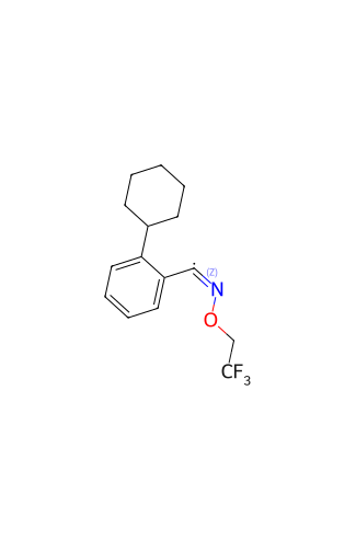 FC(F)(F)CO/N=[C]\c1ccccc1C1CCCCC1